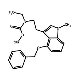 Cn1cc(CCN(CC(F)(F)F)C(=O)OC(C)(C)C)c2c(OCc3ccccc3)cccc21